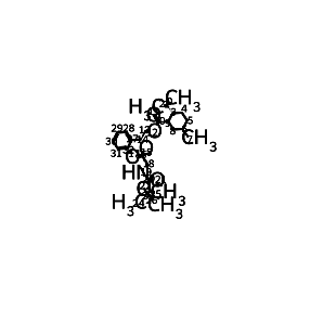 CC(C)[C@@H]1CC[C@@H](C)C[C@H]1C(=O)OC[C@@H](OC(=O)CNC(=O)OC(C)(C)C)c1ccccc1